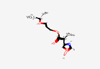 CCCC[C@H](OCCOC(=O)[C@@H](OC)c1cocn1)C(=O)O